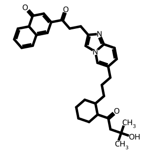 CC(C)(O)CC(=O)C1CCCCC1CCCc1ccc2nc(CCC(=O)C3=CC(=O)C4C=CC=CC4=C3)cn2c1